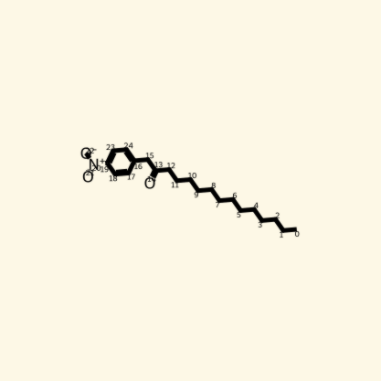 CCCCCCCCCCCCCC(=O)Cc1ccc([N+](=O)[O-])cc1